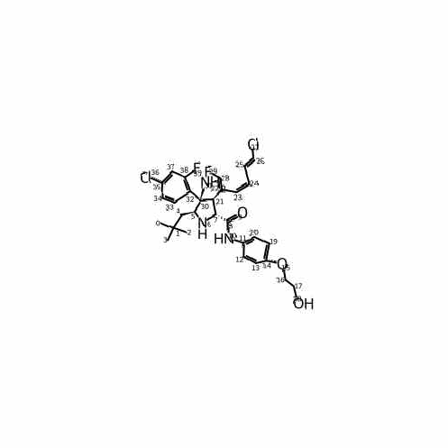 CC(C)(C)C[C@@H]1N[C@@H](C(=O)Nc2ccc(OCCO)cc2)[C@H](C(/C=C\C=C\Cl)=C\F)[C@@]1(N)c1ccc(Cl)cc1F